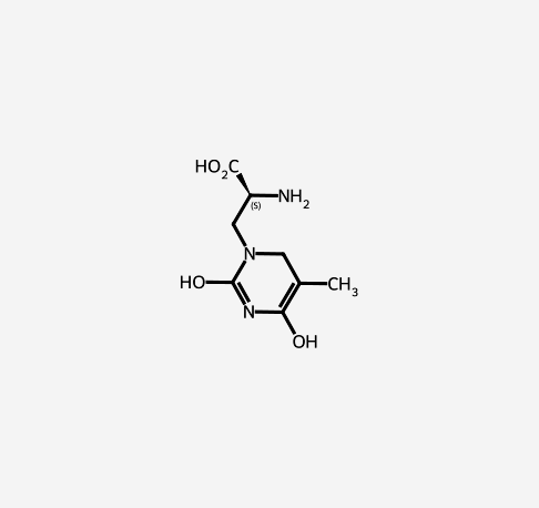 CC1=C(O)N=C(O)N(C[C@H](N)C(=O)O)C1